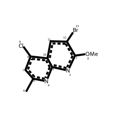 COc1nc2nc(C)cc(Cl)c2cc1Br